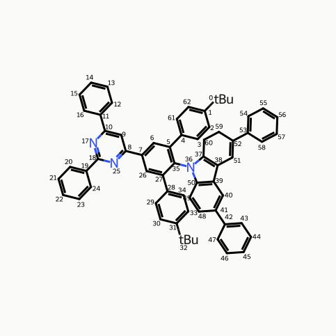 CC(C)(C)c1ccc(-c2cc(-c3cc(-c4ccccc4)nc(-c4ccccc4)n3)cc(-c3ccc(C(C)(C)C)cc3)c2-n2c3c(c4cc(-c5ccccc5)ccc42)C=C(c2ccccc2)CC3)cc1